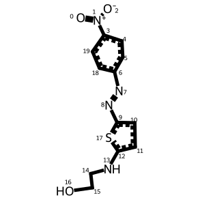 O=[N+]([O-])c1ccc(N=Nc2ccc(NCCO)s2)cc1